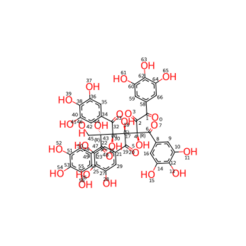 O=C(C(=O)[C@](O)(C(=O)c1cc(O)c(O)c(O)c1)[C@](O)(C(=O)c1cc(O)c(O)c(O)c1)[C@@](O)(C(=O)c1cc(O)c(O)c(O)c1)[C@](O)(CO)C(=O)c1cc(O)c(O)c(O)c1)c1cc(O)c(O)c(O)c1